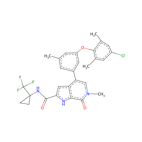 Cc1cc(Oc2c(C)cc(Cl)cc2C)cc(-c2cn(C)c(=O)c3[nH]c(C(=O)NC4(C(F)(F)F)CC4)cc23)c1